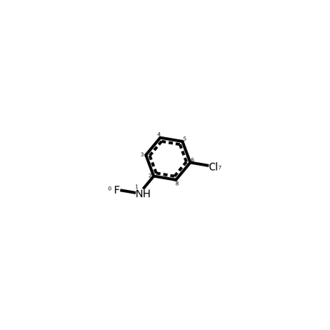 FNc1cccc(Cl)c1